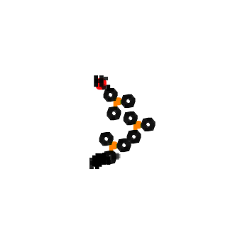 [C]=O.[H-].[H-].[H-].[Rh+3].c1ccc(P(c2ccccc2)c2ccccc2)cc1.c1ccc(P(c2ccccc2)c2ccccc2)cc1.c1ccc(P(c2ccccc2)c2ccccc2)cc1